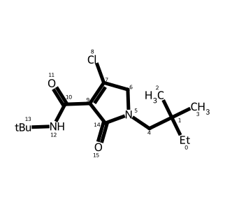 CCC(C)(C)CN1CC(Cl)=C(C(=O)NC(C)(C)C)C1=O